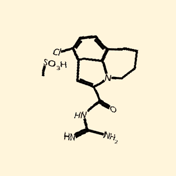 CS(=O)(=O)O.N=C(N)NC(=O)C1=CC2C(Cl)=CC=C3CCCCN1C32